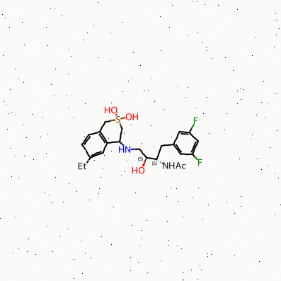 CCc1ccc2c(c1)C(NC[C@H](O)[C@H](Cc1cc(F)cc(F)c1)NC(C)=O)CS(O)(O)C2